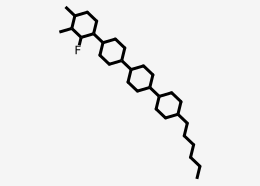 CCCCCCC1CCC(C2CCC(C3CCC(C4CCC(C)C(C)C4F)CC3)CC2)CC1